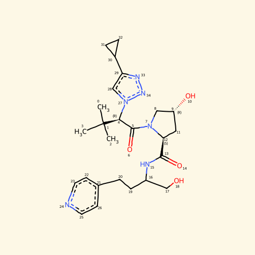 CC(C)(C)[C@H](C(=O)N1C[C@H](O)C[C@H]1C(=O)NC(CO)CCc1ccncc1)n1cc(C2CC2)nn1